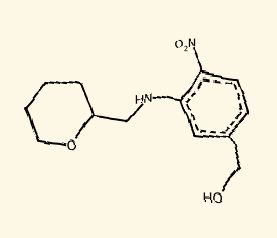 O=[N+]([O-])c1ccc(CO)cc1NCC1CCCCO1